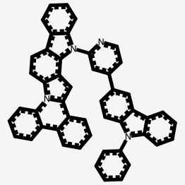 c1ccc(-n2c3ccccc3c3cc(-c4ccnc(-n5c6ccccc6c6ccc7c(cc8c9ccccc9c9ccccc9n87)c65)c4)ccc32)cc1